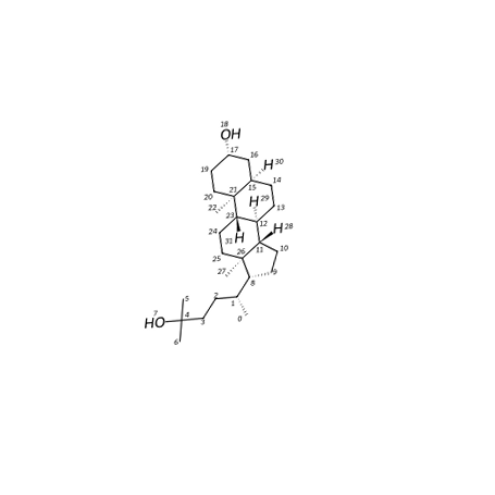 C[C@H](CCC(C)(C)O)[C@H]1CC[C@H]2[C@@H]3CC[C@@H]4C[C@@H](O)CC[C@]4(C)[C@H]3CC[C@]12C